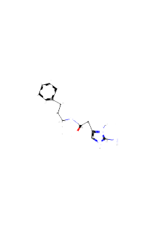 Cn1c(CC(=O)N[C@H](C=O)CCc2ccccc2)cnc1N